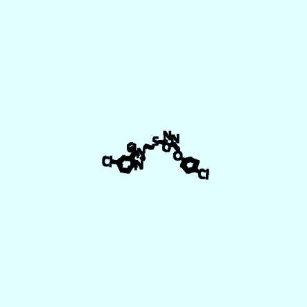 O=c1c2cc(Cl)ccc2ncn1CCSc1nnc(COc2ccc(Cl)cc2)o1